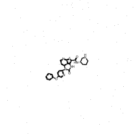 O=C(N[C@H]1CCCNC1)c1sc2nccc3c2c1NC(=O)N3c1ccc(Oc2ccccc2)cn1